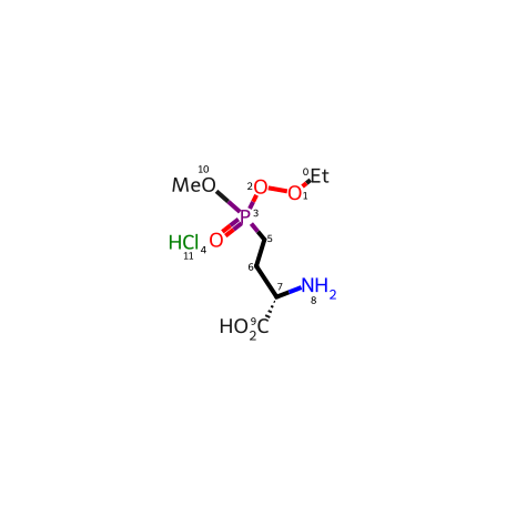 CCOOP(=O)(CC[C@H](N)C(=O)O)OC.Cl